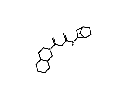 O=C(CC(=O)N1CCC2CCCCC2C1)NC1CC2CCC1C2